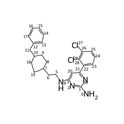 Nc1nc(NCCC2CCC(Cc3ccccc3)CC2)cc(-c2cccc(Cl)c2Cl)n1